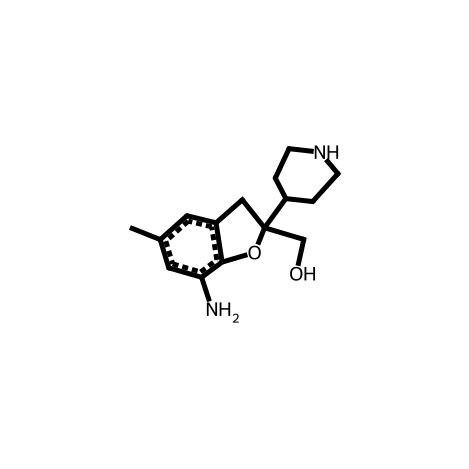 Cc1cc(N)c2c(c1)CC(CO)(C1CCNCC1)O2